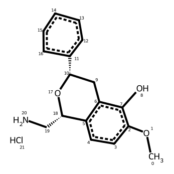 COc1ccc2c(c1O)C[C@@H](c1ccccc1)O[C@H]2CN.Cl